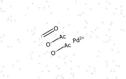 CC(=O)[O-].CC(=O)[O-].[C]=O.[Pd+2]